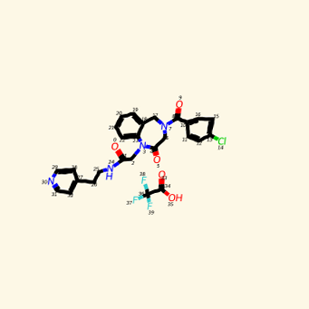 O=C(CN1C(=O)CN(C(=O)c2ccc(Cl)cc2)Cc2ccccc21)NCCc1ccncc1.O=C(O)C(F)(F)F